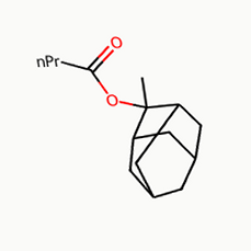 CCCC(=O)OC1(C)C2CC3CC(C2)CC1C3